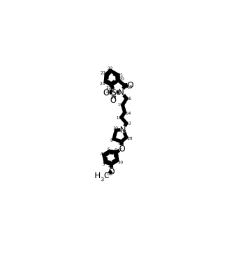 COc1cccc(OC2CCN(CCCCCN3C(=O)c4ccccc4S3(=O)=O)C2)c1